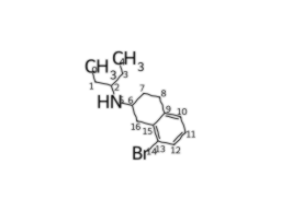 CCC(CC)NC1CCc2cccc(Br)c2C1